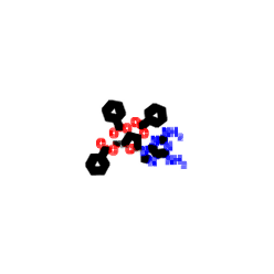 Nc1nc(N)c2ncn([C@@H]3O[C@H](COC(=O)c4ccccc4)[C@@H](OC(=O)c4ccccc4)[C@H]3OC(=O)c3ccccc3)c2n1